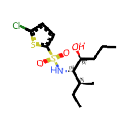 CCC[C@H](O)[C@@H](NS(=O)(=O)c1ccc(Cl)s1)[C@@H](C)CC